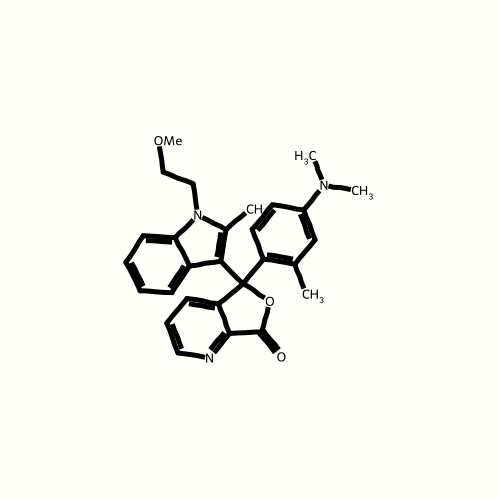 COCCn1c(C)c(C2(c3ccc(N(C)C)cc3C)OC(=O)c3ncccc32)c2ccccc21